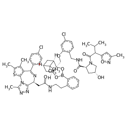 Cc1cc(C(C(=O)N2C[C@H](O)C[C@H]2C(=O)NCc2ccc(Cl)cc2OC[C@]23OB(c4ccccc4CCNC(=O)C[C@@H]4N=C(c5ccc(Cl)cc5)c5c(sc(C)c5C)-n5c(C)nnc54)O[C@H]2C[C@H]2C[C@@H]3C2(C)C)C(C)C)on1